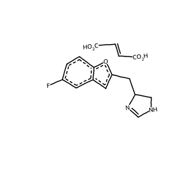 Fc1ccc2oc(CC3CNC=N3)cc2c1.O=C(O)C=CC(=O)O